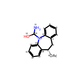 CC(=O)O[C@H]1Cc2ccccc2N(C(N)O)c2ccccc21